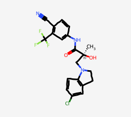 C[C@](O)(CN1CCc2cc(Cl)ccc21)C(=O)Nc1ccc(C#N)c(C(F)(F)F)c1